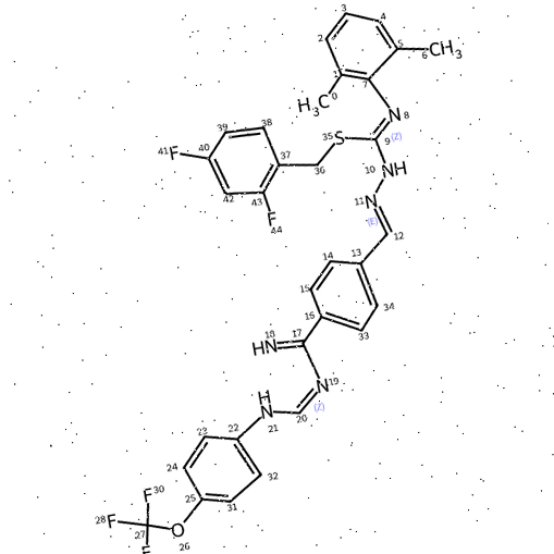 Cc1cccc(C)c1/N=C(/N/N=C/c1ccc(C(=N)/N=C\Nc2ccc(OC(F)(F)F)cc2)cc1)SCc1ccc(F)cc1F